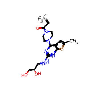 Cc1cc2c(N3CCN(C(=O)CC(F)(F)F)CC3)nc(NC[C@@H](O)CO)nc2s1